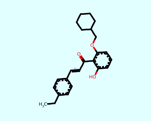 CCc1ccc(/C=C/C(=O)c2c(O)cccc2OCC2CCCCC2)cc1